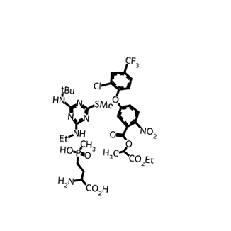 CCNc1nc(NC(C)(C)C)nc(SC)n1.CCOC(=O)C(C)OC(=O)c1cc(Oc2ccc(C(F)(F)F)cc2Cl)ccc1[N+](=O)[O-].CP(=O)(O)CCC(N)C(=O)O